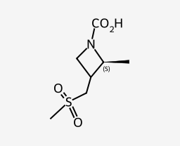 C[C@H]1C(CS(C)(=O)=O)CN1C(=O)O